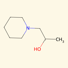 C[C](O)CN1CCCCC1